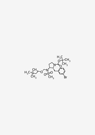 CC(C)(C)OC(=O)N1CC[C@H](N(COCC[Si](C)(C)C)S(C)(=O)=O)[C@@H]1Cc1cccc(Br)c1